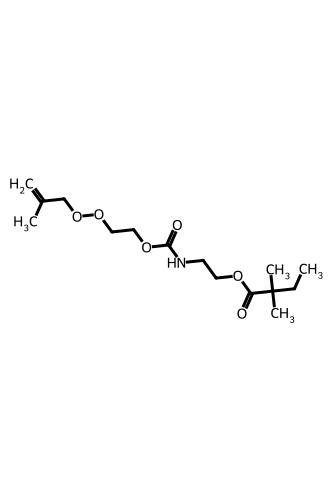 C=C(C)COOCCOC(=O)NCCOC(=O)C(C)(C)CC